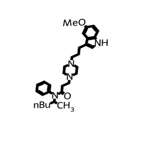 CCCCC(C)N(C(=O)CCN1CCN(CCCc2c[nH]c3ccc(OC)cc23)CC1)c1ccccc1